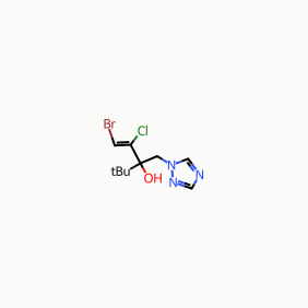 CC(C)(C)C(O)(Cn1cncn1)C(Cl)=CBr